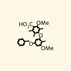 COc1cc(OCc2ccccc2)cc(Oc2c(C)c(C)c(C(=O)O)c(OC)c2C)c1C